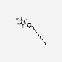 C=C=C1C(=O)N(c2ccc(CCCCCCCCCCCC)cc2)C(=O)/C1=C(\C)S